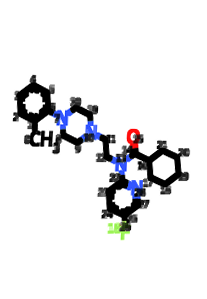 Cc1ccccc1N1CCN(CCN(C(=O)C2CCCCC2)c2ccc([18F])cn2)CC1